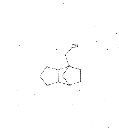 N#CCC12CCC(C1)C1CCCC12